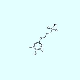 Cc1cc(OCCCS(=O)(=O)C(C)C)cc(C)c1Br